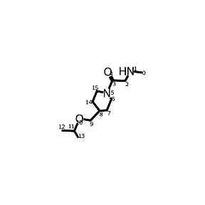 CNCC(=O)N1CCC(COC(C)C)CC1